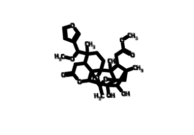 COC(=O)CC1C2(C)CC34OC5(C)OC67C(CC(=O)OC6C3(O)C2O)C(C)(C(OC)c2ccoc2)CCC7(O5)C14C